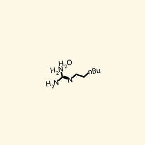 CCCCCCN=C(N)N.O